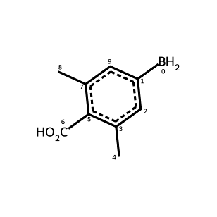 Bc1cc(C)c(C(=O)O)c(C)c1